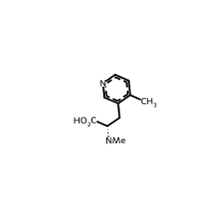 CN[C@@H](Cc1cnccc1C)C(=O)O